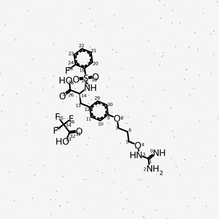 N=C(N)NOCCCOc1ccc(C[C@H](NS(=O)(=O)c2ccccc2F)C(=O)O)cc1.O=C(O)C(F)(F)F